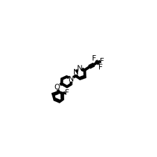 Fc1ccccc1OC1CCN(c2ccc(C#CC(F)(F)F)nn2)CC1